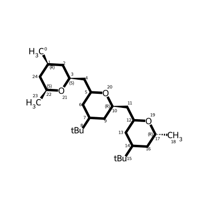 C[C@H]1C[C@@H](CC2CC(C(C)(C)C)C[C@H](CC3CC(C(C)(C)C)C[C@@H](C)O3)O2)O[C@@H](C)C1